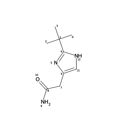 CC(C)(C)c1nc(CC(N)=O)c[nH]1